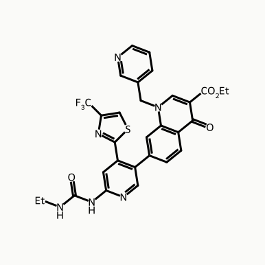 CCNC(=O)Nc1cc(-c2nc(C(F)(F)F)cs2)c(-c2ccc3c(=O)c(C(=O)OCC)cn(Cc4cccnc4)c3c2)cn1